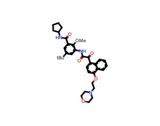 COc1c(NC(=O)C(=O)c2ccc(OCCN3CCOCC3)c3ccccc23)cc(C(C)(C)C)cc1C(=O)NC1CCCC1